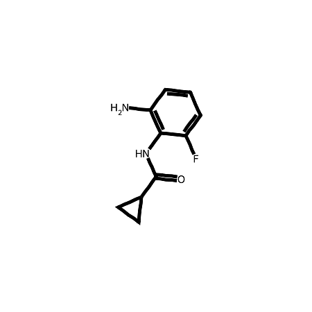 Nc1cccc(F)c1NC(=O)C1CC1